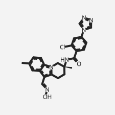 Cc1ccc2c(c1)c(/C=N/O)c1n2C[C@](C)(NC(=O)c2ccc(-n3cnnc3)cc2Cl)CC1